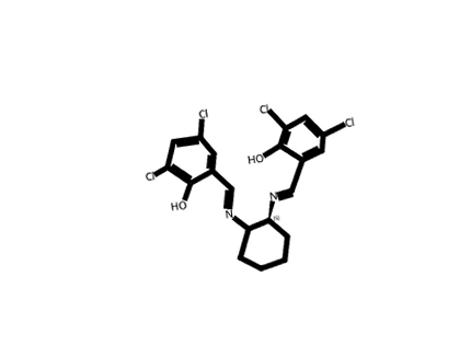 Oc1c(Cl)cc(Cl)cc1C=NC1CCCC[C@@H]1N=Cc1cc(Cl)cc(Cl)c1O